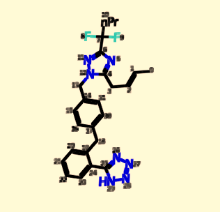 C/C=C/Cc1nc(C(F)(F)CCC)nn1Cc1ccc(Cc2ccccc2-c2nnn[nH]2)cc1